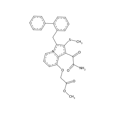 COC(=O)COc1cccn2c(Cc3ccccc3-c3ccccc3)c(SC)c(C(=O)C(N)=O)c12